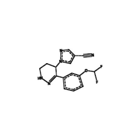 N#Cc1cnn(C2CCNN=C2c2cccc(OC(F)F)c2)c1